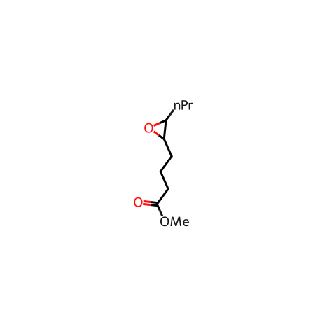 CCCC1OC1CCCC(=O)OC